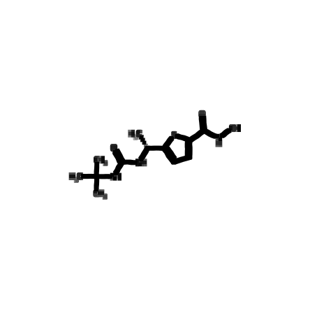 C[C@@H](NC(=O)NC(C)(C)C)c1ccc(C(=O)NO)s1